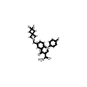 NC(=O)c1cn(-c2ccc(F)cc2)c2ccc(CN3CC4(C3)CC(F)(F)C4)cc2c1=O